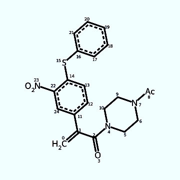 C=C(C(=O)N1CCN(C(C)=O)CC1)c1ccc(Sc2ccccc2)c([N+](=O)[O-])c1